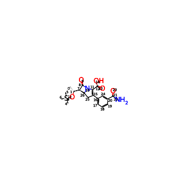 C[C@@H](O[Si](C)(C)C)[C@H]1C(=O)N2C(C(=O)O)=C(c3cccc(C(N)=O)c3)CC12